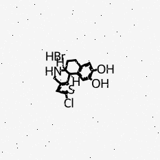 Br.Oc1cc2c(cc1O)[C@H]1c3sc(Cl)cc3CN[C@@H]1CC2